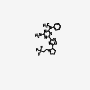 CN(c1ccccc1)c1nc(N)nc(-c2noc([C@H]3CCCN3CCC(F)(F)F)n2)n1